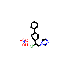 Cl/C(=C/n1ccnc1)c1ccc(-c2ccccc2)cc1.O=[N+]([O-])O